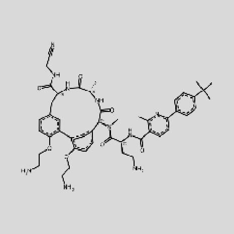 Cc1nc(-c2ccc(C(C)(C)C)cc2)ccc1C(=O)N[C@@H](CCN)C(=O)N(C)[C@@H]1C(=O)N[C@@H](C)C(=O)N[C@H](C(=O)NCC#N)Cc2ccc(OCCN)c(c2)-c2cc1ccc2OCCN